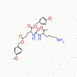 COc1ccc(COC(=O)CCC(NC(=O)NC(CCCCN)C(C)=O)C(=O)OCc2ccc(OC)cc2)cc1